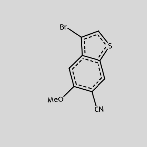 COc1cc2c(Br)csc2cc1C#N